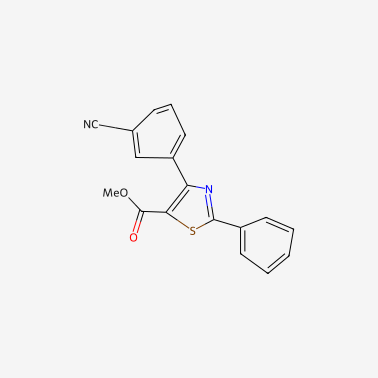 COC(=O)c1sc(-c2ccccc2)nc1-c1cccc(C#N)c1